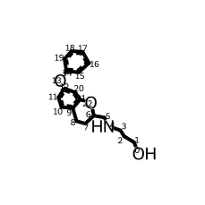 OCCCNCC1CCc2ccc(Oc3ccccc3)cc2O1